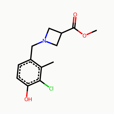 COC(=O)C1CN(Cc2ccc(O)c(Cl)c2C)C1